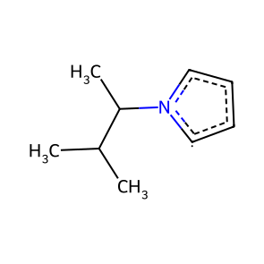 CC(C)C(C)n1[c]ccc1